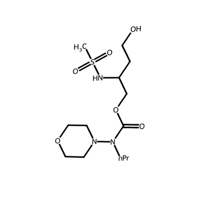 [CH2]CCN(C(=O)OCC(CCO)NS(C)(=O)=O)N1CCOCC1